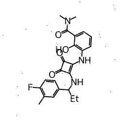 CCC(Nc1c(Nc2cccc(C(=O)N(C)C)c2O)c(=O)c1=O)c1ccc(F)c(C)c1